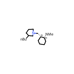 CCCCC1CCCN(C[C@H]2CCCC[C@H]2NC)C1